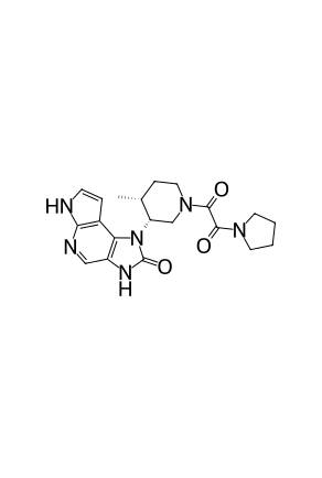 C[C@@H]1CCN(C(=O)C(=O)N2CCCC2)C[C@@H]1n1c(=O)[nH]c2cnc3[nH]ccc3c21